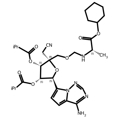 CC(C)C(=O)O[C@H]1[C@H](c2ccc3c(N)ncnn23)O[C@](CC#N)(COCN[C@@H](C)C(=O)OC2CCCCC2)[C@H]1OC(=O)C(C)C